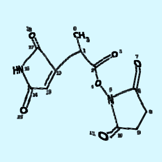 CC(C(=O)ON1C(=O)CCC1=O)C1=CC(=O)NC1=O